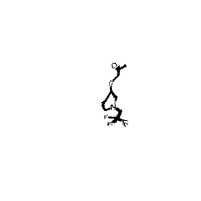 CC(=O)COC1CCN(CC(F)(F)F)C1